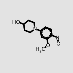 COc1cc(N2CCC(O)CC2)ccc1N=O